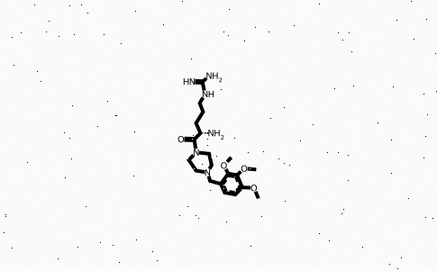 COc1ccc(CN2CCN(C(=O)[C@@H](N)CCCNC(=N)N)CC2)c(OC)c1OC